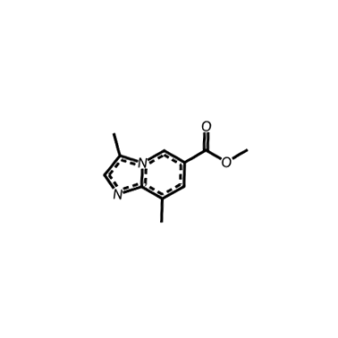 COC(=O)c1cc(C)c2ncc(C)n2c1